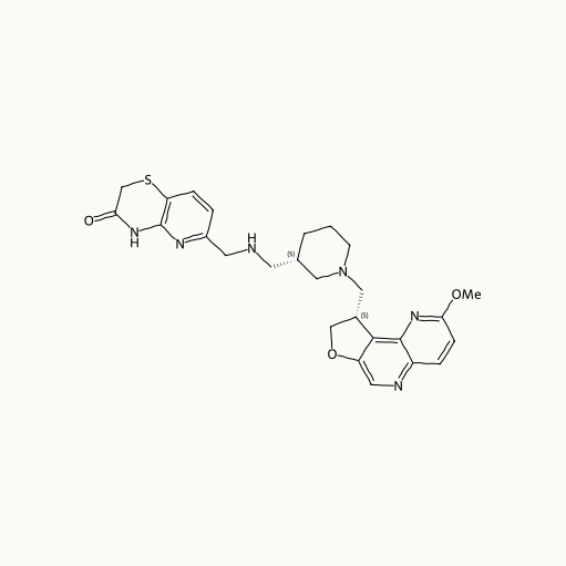 COc1ccc2ncc3c(c2n1)[C@@H](CN1CCC[C@@H](CNCc2ccc4c(n2)NC(=O)CS4)C1)CO3